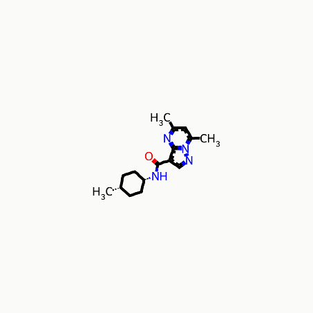 Cc1cc(C)n2ncc(C(=O)N[C@H]3CC[C@@H](C)CC3)c2n1